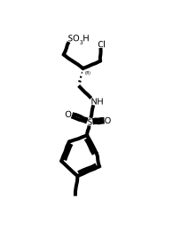 Cc1ccc(S(=O)(=O)NC[C@@H](CCl)CS(=O)(=O)O)cc1